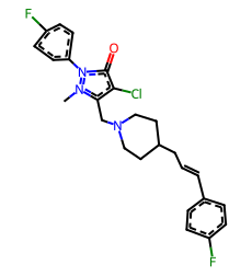 Cn1c(CN2CCC(CC=Cc3ccc(F)cc3)CC2)c(Cl)c(=O)n1-c1ccc(F)cc1